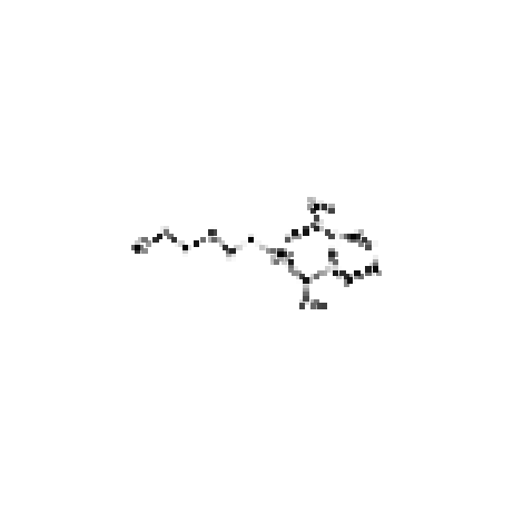 COC(=O)c1ccccc1C(=O)OC.OCCOCCO